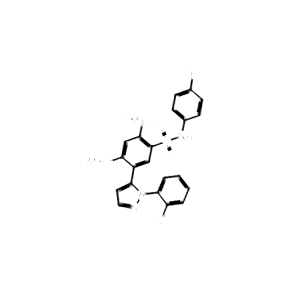 COc1cc(OC)c(S(=O)(=O)Nc2ccc(F)cc2)cc1-c1ccnn1-c1ccccc1Cl